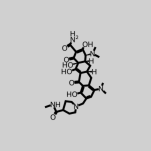 CNC(=O)C1CCN(Cc2cc(N(C)C)c3c(c2O)C(=O)C2=C(O)[C@]4(O)C(=O)C(C(N)=O)=C(O)[C@@H](N(C)C)[C@@H]4C[C@@H]2C3)CC1